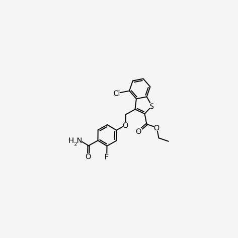 CCOC(=O)c1sc2cccc(Cl)c2c1COc1ccc(C(N)=O)c(F)c1